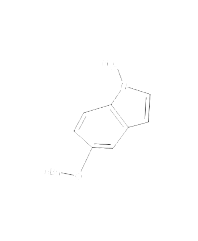 CCCCOc1ccc2c(ccn2C)c1